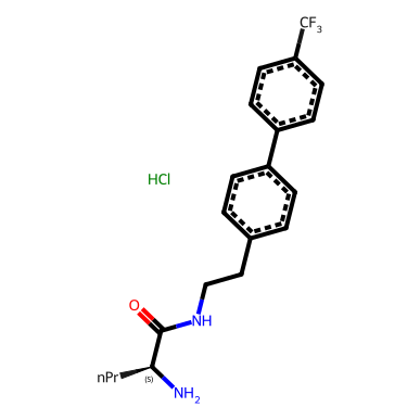 CCC[C@H](N)C(=O)NCCc1ccc(-c2ccc(C(F)(F)F)cc2)cc1.Cl